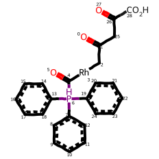 O=C([CH2][Rh][C](=O)[PH](c1ccccc1)(c1ccccc1)c1ccccc1)CC(=O)C(=O)O